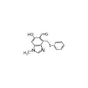 Cn1cnc2c(CSc3ccccc3)c(C=O)c(O)cc21